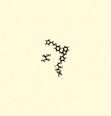 C[C@H](COc1ccc(-c2sc3ccccc3c2Cc2ccc(OCCN3CCCC3)cc2)cc1)NC(=O)OC(C)(C)C.O=C(O)C(=O)O